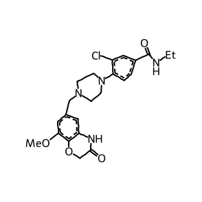 CCNC(=O)c1ccc(N2CCN(Cc3cc4c(c(OC)c3)OCC(=O)N4)CC2)c(Cl)c1